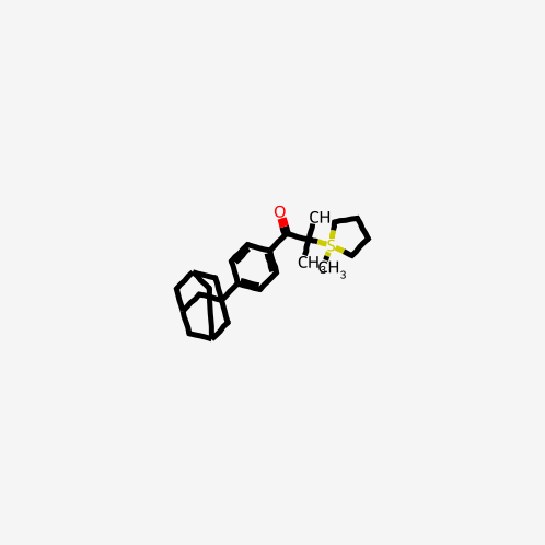 CC(C)(C(=O)c1ccc(C23CC4CC(CC(C4)C2)C3)cc1)S1(C)CCCC1